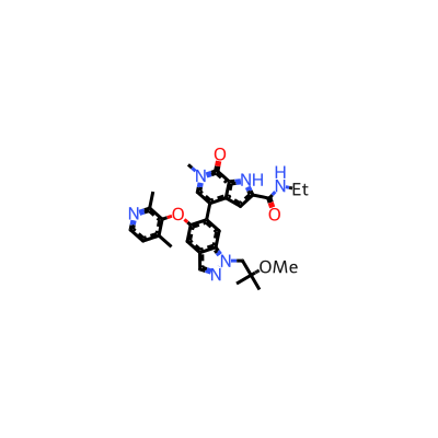 CCNC(=O)c1cc2c(-c3cc4c(cnn4CC(C)(C)OC)cc3Oc3c(C)ccnc3C)cn(C)c(=O)c2[nH]1